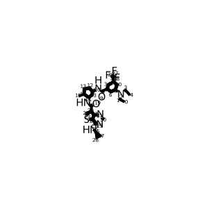 CCN(CC)c1cc(C(=O)Nc2ccc(C)c(NC(=O)c3csc4c(NC5CC5)ncnc34)c2)cc(C(F)(F)F)c1